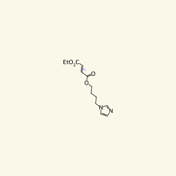 CCOC(=O)/C=C/C(=O)OCCCCn1ccnc1